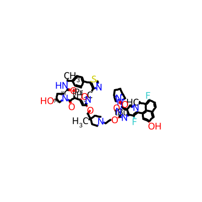 C#Cc1c(F)ccc2cc(O)cc(-c3ncc4c(N5CC6CCC(C5)N6C(=O)OC(C)(C)C)nc(OCCN5CCC(C)(COc6cc(C(C(=O)N7C[C@H](O)C[C@H]7C(=O)NC(C)c7ccc(-c8scnc8C)cc7)C(C)C)on6)CC5)nc4c3F)c12